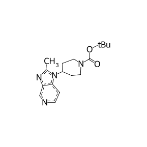 Cc1nc2cnccc2n1C1CCN(C(=O)OC(C)(C)C)CC1